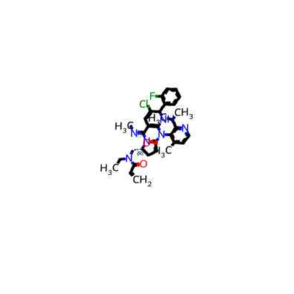 C=CC(=O)N(CC)C[C@H]1CCCN1/C(=N/C)C1=C(N(C=O)c2c(C)ccnc2C(C)C)NC(c2ccccc2F)C(Cl)=C1